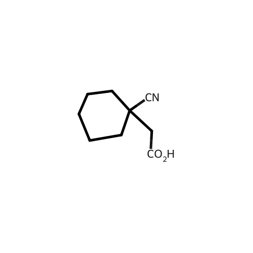 N#CC1(CC(=O)O)CCCCC1